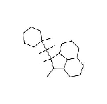 CC1C2CCCC3CCCC(C32)C1(C)C(C)(C)C1(C)CCCCC1